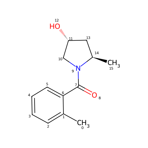 Cc1ccccc1C(=O)N1C[C@H](O)C[C@H]1C